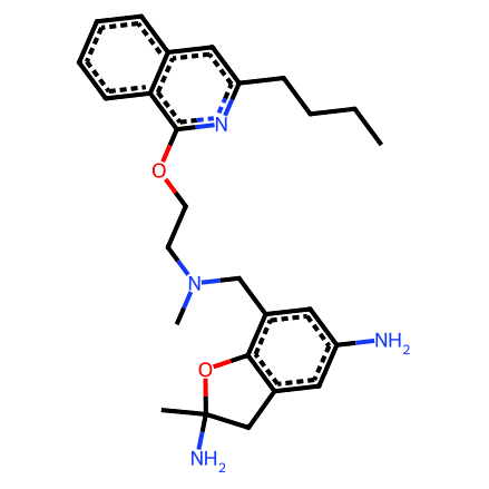 CCCCc1cc2ccccc2c(OCCN(C)Cc2cc(N)cc3c2OC(C)(N)C3)n1